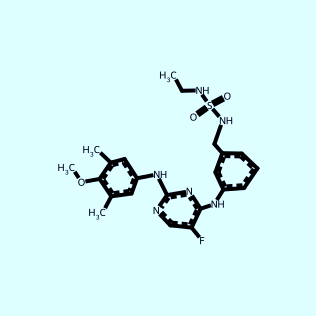 CCNS(=O)(=O)NCc1cccc(Nc2nc(Nc3cc(C)c(OC)c(C)c3)ncc2F)c1